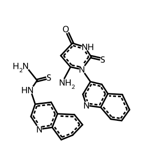 NC(=S)Nc1cnc2ccccc2c1.Nc1cc(=O)[nH]c(=S)n1-c1cnc2ccccc2c1